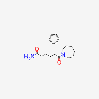 NC(=O)CCCCC(=O)N1CCCCCC1.c1ccccc1